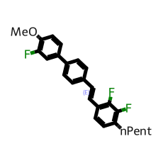 CCCCCc1ccc(/C=C/c2ccc(-c3ccc(OC)c(F)c3)cc2)c(F)c1F